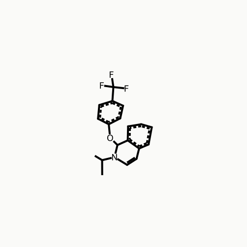 CC(C)N1C=Cc2ccccc2C1Oc1ccc(C(F)(F)F)cc1